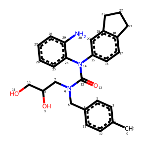 [CH]c1ccc(CN(CC(O)CO)C(=O)N(c2ccc3c(c2)CCC3)c2ccccc2N)cc1